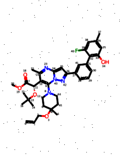 C=CCOC1(C)CCN(c2c([C@H](OC(C)(C)C)C(=O)OC)c(C)nc3cc(-c4cccc(-c5c(O)cc(C)cc5F)c4)nn23)CC1